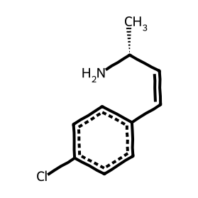 C[C@@H](N)/C=C\c1ccc(Cl)cc1